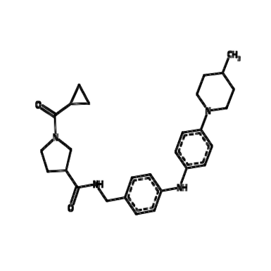 CC1CCN(c2ccc(Nc3ccc(CNC(=O)C4CCN(C(=O)C5CC5)C4)cc3)cc2)CC1